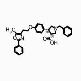 Cc1oc(-c2ccccc2)nc1CCOc1ccc([C@@H]2CN(Cc3ccccc3)C[C@@H]2C(=O)O)cc1